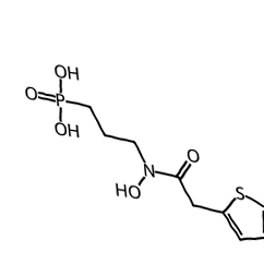 O=C(Cc1cccs1)N(O)CCCP(=O)(O)O